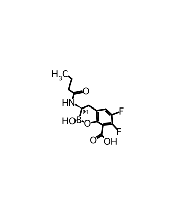 CCCC(=O)N[C@H]1Cc2cc(F)c(F)c(C(=O)O)c2OB1O